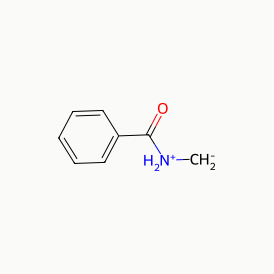 [CH2-][NH2+]C(=O)c1ccccc1